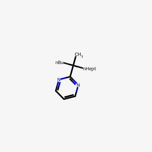 CCCCCCCC(C)(CCCC)c1ncccn1